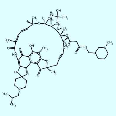 C/C1=C/C=C/[C@H](C)C[C@@H](C)[C@@H](OC(C)(C)O)[C@@H](C)[C@H](OC(=O)CC(=O)OCC2CCCN(C)C2)[C@H](C)C/C=C/C[C@@]2(C)Oc3c(C)c(O)c4c(c3C2=O)C2=NC3(CCN(CC(C)C)CC3)NC2=C(NC1=O)C4=O